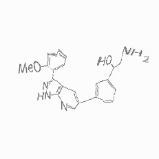 COc1ccccc1-c1n[nH]c2ncc(-c3cccc(C(O)CN)c3)cc12